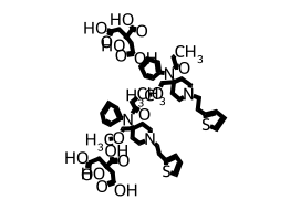 CCC(=O)N(c1ccccc1)C1(COC)CCN(CCc2cccs2)CC1.CCC(=O)N(c1ccccc1)C1(COC)CCN(CCc2cccs2)CC1.O=C(O)CC(O)(CC(=O)O)C(=O)O.O=C(O)CC(O)(CC(=O)O)C(=O)O